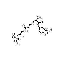 CCO[Si](CCCNC(=O)CCSCC(C)C(=O)OC(CS(=O)(=O)O)CS(=O)(=O)O)(OCC)OCC